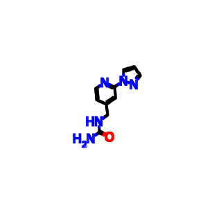 NC(=O)NCc1ccnc(-n2cccn2)c1